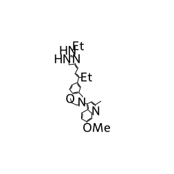 CCNC1=N/C(=C/C=C(\CC)c2ccc3c(c2)CN(c2cc(C)nc4cc(OC)ccc24)CCO3)CN1